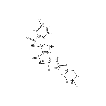 C=C(Nc1c[nH]nc1C(=C)Nc1ccc(CC2CCN(C)CC2)nc1)c1cncc(Cl)c1